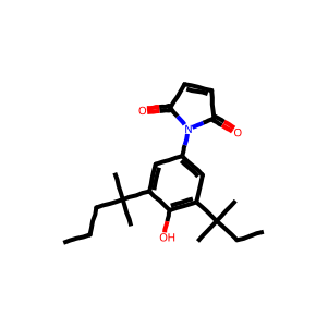 CCCC(C)(C)c1cc(N2C(=O)C=CC2=O)cc(C(C)(C)CC)c1O